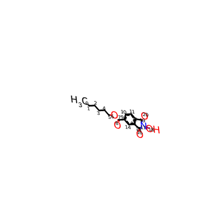 CCCCCCOC(=O)c1ccc2c(c1)C(=O)N(O)C2=O